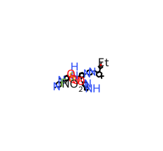 CCC12CC(C3=C(CN4CCN(c5ccc(C(=O)NS(=O)(=O)c6ccc(N(C)C7(F)CCN(C)CC7)c([N+](=O)[O-])c6)c(Oc6cnc7[nH]ccc7c6)c5)CC4)CCC(C)(C)C3)(C1)C2